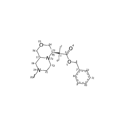 CC(C)(C(=O)OCc1ccccc1)[C@@H]1COCC2CN(I)CCN21